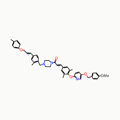 COc1ccc(COc2ccc(Oc3c(C)cc(/C=C/C(=O)N4CCN(Cc5ccc(/C=C/COc6ccc(C)cc6)cc5C)CC4)cc3C)nc2)cc1